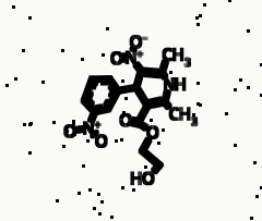 CC1=C(C(=O)OCCO)C(c2cccc([N+](=O)[O-])c2)C([N+](=O)[O-])=C(C)N1